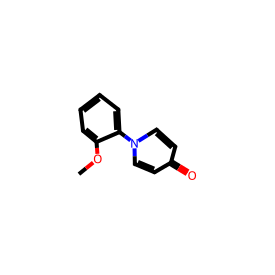 COc1ccccc1-n1ccc(=O)cc1